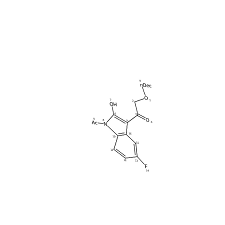 CCCCCCCCCCOCC(=O)c1c(O)n(C(C)=O)c2ccc(F)cc12